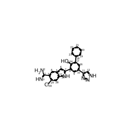 N=C(N)c1cc2cc(-c3cc(-c4c[nH]nn4)cc(-c4ccccc4)c3O)[nH]c2cc1Cl